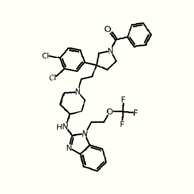 O=C(c1ccccc1)N1CCC(CCN2CCC(Nc3nc4ccccc4n3CCOC(F)(F)F)CC2)(c2ccc(Cl)c(Cl)c2)C1